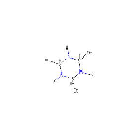 CC[SiH]1N(C)[SiH](CC)N(C)[SiH](CC)N1C